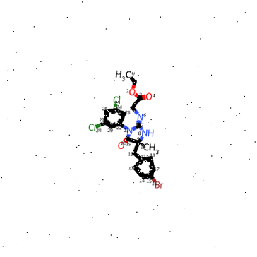 CCOC(=O)C/N=C1/N[C@](C)(Cc2ccc(Br)cc2)C(=O)N1c1cc(Cl)cc(Cl)c1